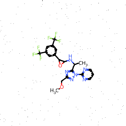 COCc1nc(C(C)NC2OC2c2cc(C(F)(F)F)cc(C(F)(F)F)c2)n(-c2ncccn2)n1